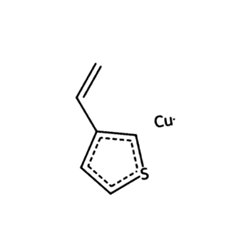 C=Cc1ccsc1.[Cu]